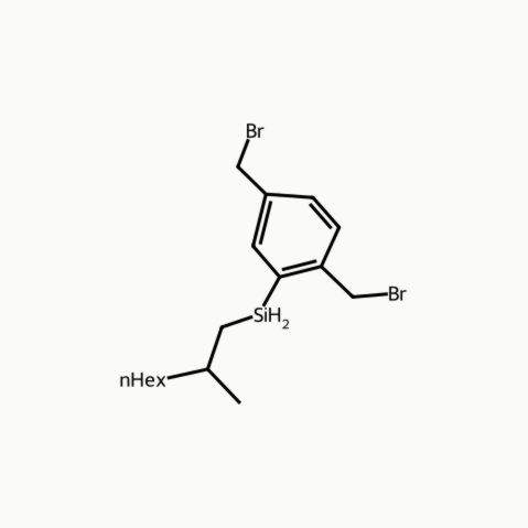 CCCCCCC(C)C[SiH2]c1cc(CBr)ccc1CBr